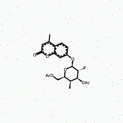 CC(=O)OC[C@H]1O[C@@H](Oc2ccc3c(C)cc(=O)oc3c2)[C@H](F)[C@@H](OC(C)=O)[C@H]1C